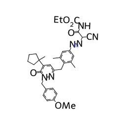 CCOC(=O)NC(=O)C(C#N)/N=N/c1cc(C)c(Cc2cc(C3(C)CCCC3)c(=O)n(Cc3ccc(OC)cc3)n2)c(C)c1